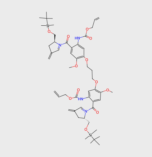 C=CCOC(=O)Nc1cc(OCCCOc2cc(NC(=O)OCC=C)c(C(=O)[N+]3=CC(=C)C[C@H]3CO[Si](C)(C)C(C)(C)C)cc2OC)c(OC)cc1C(=O)[N+]1=CC(=C)C[C@H]1CO[Si](C)(C)C(C)(C)C